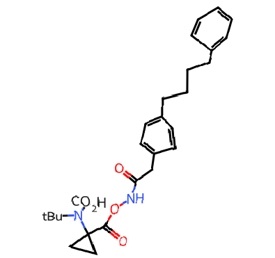 CC(C)(C)N(C(=O)O)C1(C(=O)ONC(=O)Cc2ccc(CCCCc3ccccc3)cc2)CC1